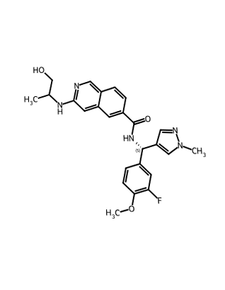 COc1ccc([C@H](NC(=O)c2ccc3cnc(NC(C)CO)cc3c2)c2cnn(C)c2)cc1F